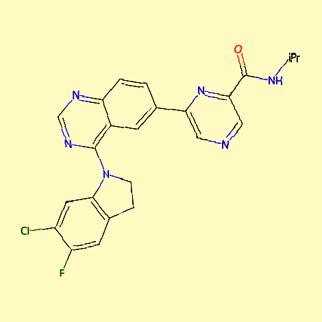 CC(C)NC(=O)c1cncc(-c2ccc3ncnc(N4CCc5cc(F)c(Cl)cc54)c3c2)n1